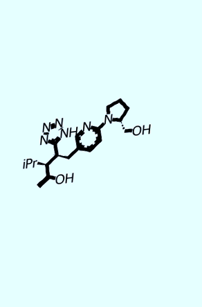 C=C(O)[C@@H](C(C)C)[C@H](Cc1ccc(N2CCC[C@@H]2CO)nc1)c1nnn[nH]1